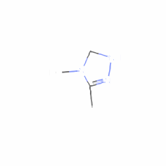 CCC1=NNCN1C